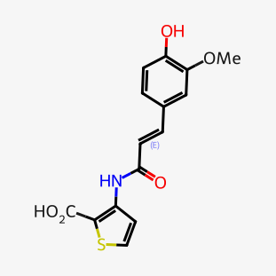 COc1cc(/C=C/C(=O)Nc2ccsc2C(=O)O)ccc1O